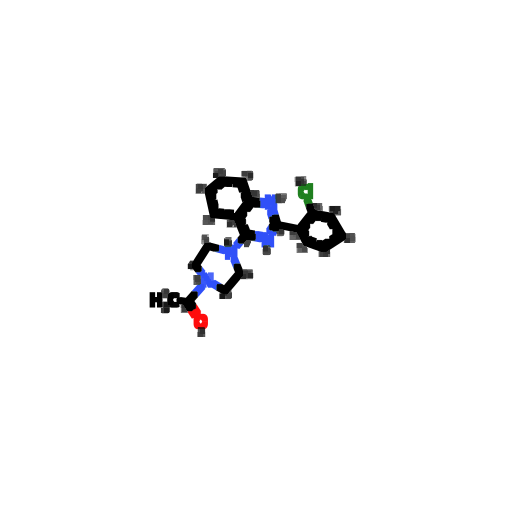 CC(=O)N1CCN(c2nc(-c3ccccc3Cl)nc3ccccc23)CC1